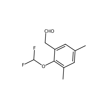 Cc1cc(C)c(OC(F)F)c(CC=O)c1